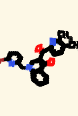 Cc1ccc(C(=O)c2cn(Cc3cccc(Br)n3)c3ccccc3c2=O)nc1C